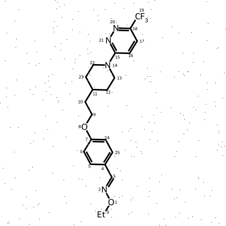 CCON=Cc1ccc(OCCC2CCN(c3ccc(C(F)(F)F)nn3)CC2)cc1